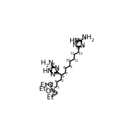 CCO[Si](CCCC(CCCCCCCc1n[nH]c(N)n1)c1n[nH]c(N)n1)(OCC)OCC